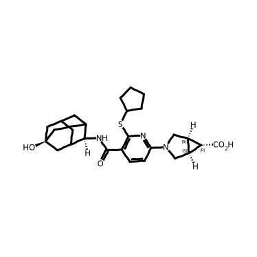 O=C(N[C@H]1C2CC3CC1C[C@@](O)(C3)C2)c1ccc(N2C[C@@H]3[C@H](C2)[C@H]3C(=O)O)nc1SC1CCCC1